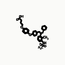 Cc1c(NS(C)(=O)=O)cccc1N(Cc1ccccc1)Cc1ccc(Oc2ccc(OCCCC(=O)O)cc2)cc1